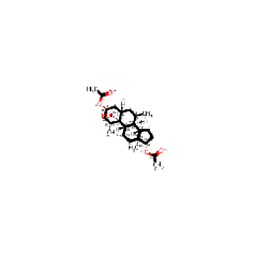 CC(=O)O[C@@H]1C[C@@H]2C[C@@H](C)[C@H]3[C@@H]4CC[C@H](OC(C)=O)[C@@]4(C)CC[C@@H]3[C@@]2(CO)[C@H](C)C1